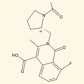 CC(=O)N1CCC[C@H]1Cn1c(C)c(C(=O)O)c2cccc(F)c2c1=O